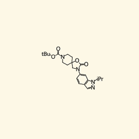 CC(C)n1ncc2ccc(N3CC4(CCN(C(=O)OC(C)(C)C)CC4)OC3=O)cc21